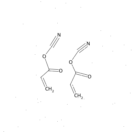 C=CC(=O)OC#N.C=CC(=O)OC#N